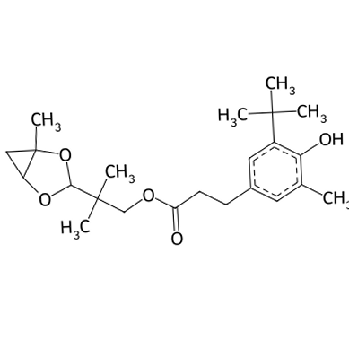 Cc1cc(CCC(=O)OCC(C)(C)C2OC3CC3(C)O2)cc(C(C)(C)C)c1O